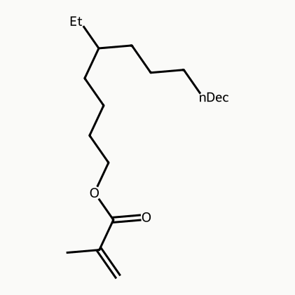 C=C(C)C(=O)OCCCCC(CC)CCCCCCCCCCCCC